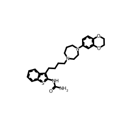 NC(=O)Nc1sc2ccccc2c1CCCCN1CCCN(c2ccc3c(c2)OCCO3)CC1